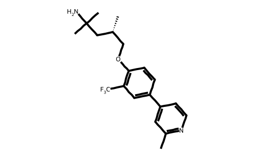 Cc1cc(-c2ccc(OC[C@@H](C)CC(C)(C)N)c(C(F)(F)F)c2)ccn1